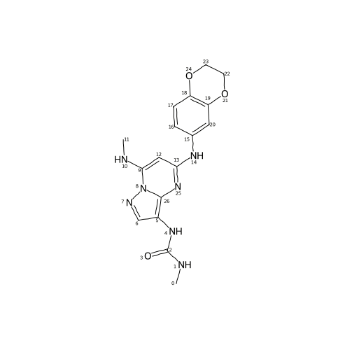 CNC(=O)Nc1cnn2c(NC)cc(Nc3ccc4c(c3)OCCO4)nc12